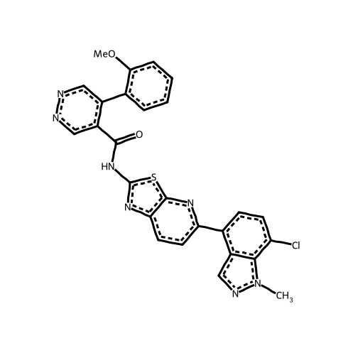 COc1ccccc1-c1cnncc1C(=O)Nc1nc2ccc(-c3ccc(Cl)c4c3cnn4C)nc2s1